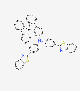 c1ccc2c(c1)-c1ccccc1C21c2ccccc2-c2ccc(N(c3ccc(-c4nc5ccccc5s4)cc3)c3ccc(-c4nc5ccccc5s4)cc3)cc21